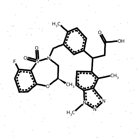 Cc1ccc(C(CC(=O)O)c2ccc3c(nnn3C)c2C)cc1CN1C[C@@H](C)Oc2cccc(F)c2S1(=O)=O